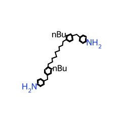 CCCCc1cc(Cc2ccc(N)cc2)ccc1CCCCCCCCCc1ccc(Cc2ccc(N)cc2)cc1CCCC